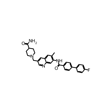 Cc1cc2cc(CN3CCC(C(N)=O)CC3)cnc2cc1NC(=O)c1ccc(-c2ccc(F)cc2)cc1